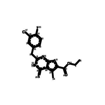 CCOC(=O)c1sc2nc(Cc3ccc(F)c(Cl)c3)[nH]c(=S)c2c1C